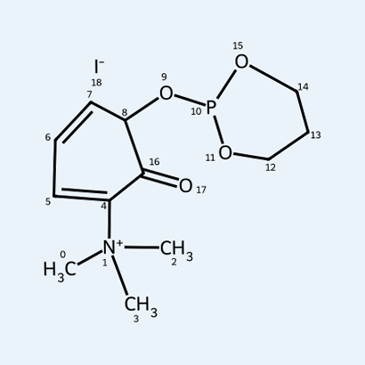 C[N+](C)(C)C1=CC=CC(OP2OCCCO2)C1=O.[I-]